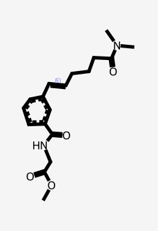 COC(=O)CNC(=O)c1cccc(/C=C/CCCC(=O)N(C)C)c1